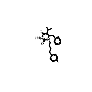 CC(C)c1c(Cc2ccccc2)n(CCCCc2ccc(F)cc2)c(=O)n(O)c1=O